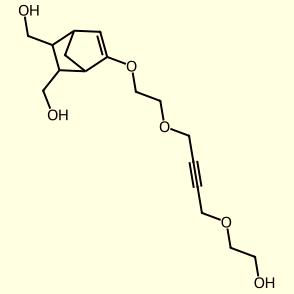 OCCOCC#CCOCCOC1=CC2CC1C(CO)C2CO